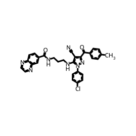 Cc1ccc(C(=O)c2nn(-c3ccc(Cl)cc3)c(NCCCNC(=O)c3ccc4nccnc4c3)c2C#N)cc1